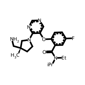 CCN(C(=O)c1cc(F)ccc1Oc1cncnc1N1CC[C@](C)(CN)C1)C(C)C